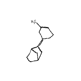 CC1CCCC(=C2CC3CCC2C3)C1